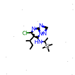 CCC(C)c1c(Cl)nc2ncnn2c1NC(C)[Si](C)(C)C